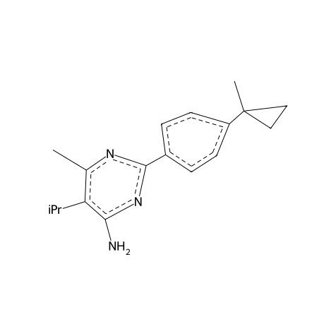 Cc1nc(-c2ccc(C3(C)CC3)cc2)nc(N)c1C(C)C